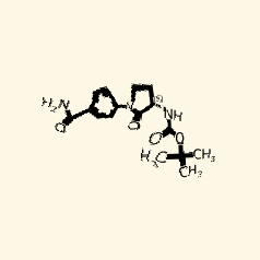 CC(C)(C)OC(=O)N[C@H]1CCN(c2ccc(C(N)=O)cc2)C1=O